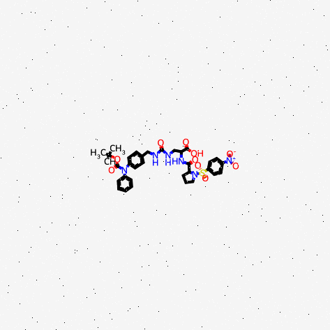 CC(C)(C)OC(=O)N(c1ccccc1)c1ccc(CNC(=O)NCC(NC(=O)C2CCCN2S(=O)(=O)c2ccc([N+](=O)[O-])cc2)C(=O)O)cc1